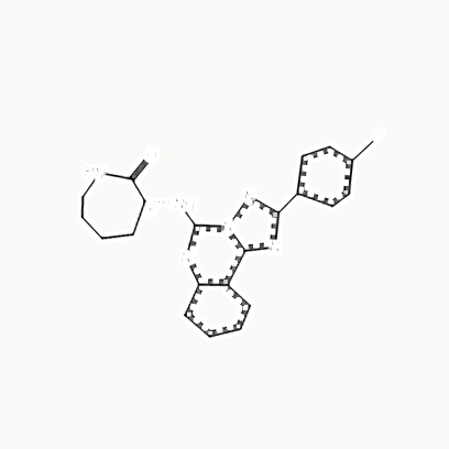 O=C1NCCCC[C@H]1Nc1nc2ccccc2c2nc(-c3ccc(F)cc3)nn12